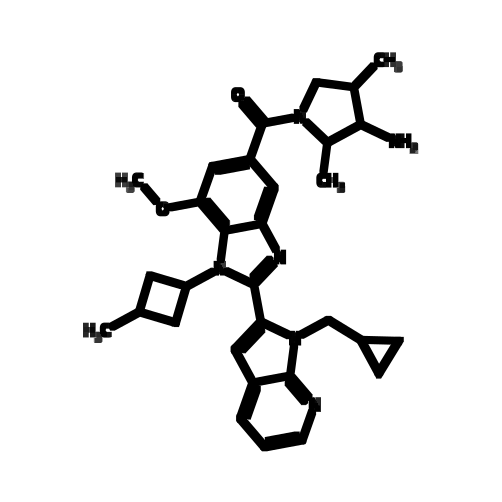 COc1cc(C(=O)N2CC(C)C(N)C2C)cc2nc(-c3cc4cccnc4n3CC3CC3)n(C3CC(C)C3)c12